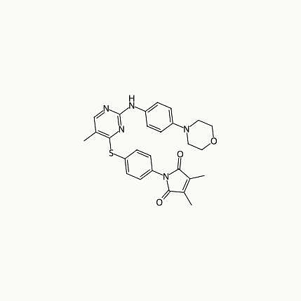 CC1=C(C)C(=O)N(c2ccc(Sc3nc(Nc4ccc(N5CCOCC5)cc4)ncc3C)cc2)C1=O